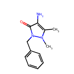 Cc1c(N)c(=O)n(Cc2ccccc2)n1C